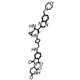 N=C(/C(=C\NC1CC(CNc2ccc3c(c2)C(=O)N(C2CCC(=O)NC2=O)C3=O)C1)c1cnc2ccc(CN3CCOCC3)cc2n1)C1CC1